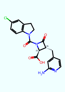 Nc1cc(C[C@H]2C(=O)N(C(=O)N3CCc4cc(Cl)ccc43)[C@@H]2C(=O)O)ccn1